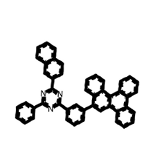 c1ccc(-c2nc(-c3cccc(-c4cc5c6ccccc6c6ccccc6c5c5ccccc45)c3)nc(-c3ccc4ccccc4c3)n2)cc1